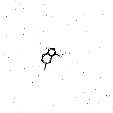 O=COc1c[nH]c2ccc(F)cc12